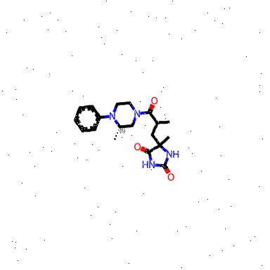 CC(CC1(C)NC(=O)NC1=O)C(=O)N1CCN(c2ccccc2)[C@@H](C)C1